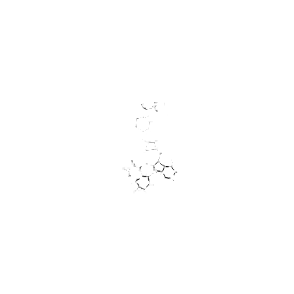 Cc1cncc2c1c(CC1CN(C[C@H]3CC[C@@H](C(=O)N(C)C)CC3)C1)cn2-c1ccc(F)cc1C(=O)N(C)C(C)C